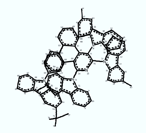 Cc1ccc2c(c1)c1ccccc1n2-c1nc(-n2c3ccccc3c3cc(C)ccc32)c(-n2c3ccccc3c3cc(C)ccc32)c(-c2ccccc2-c2cccnc2)c1-c1cccc(-n2c3ccccc3c3cc(C(C)(C)C)ccc32)c1